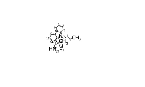 CCCCn1c2ccccc2c2cccc(C3(C)CNCCO3)c21